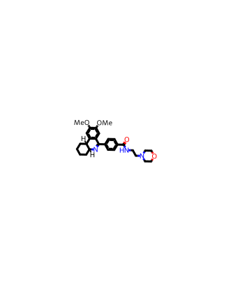 COc1cc2c(cc1OC)[C@H]1CCCC[C@H]1N=C2c1ccc(C(=O)NCCN2CCOCC2)cc1